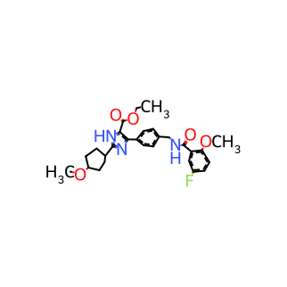 CCOC(=O)c1[nH]c(C2CCC(OC)CC2)nc1-c1ccc(CNC(=O)c2cc(F)ccc2OC)cc1